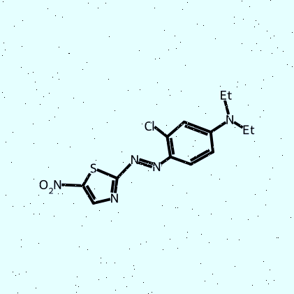 CCN(CC)c1ccc(N=Nc2ncc([N+](=O)[O-])s2)c(Cl)c1